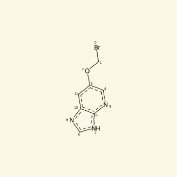 BrCOc1cnc2[nH]cnc2c1